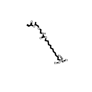 C=CC(=O)OC(C)COCCNC(=O)OCCCCCCCCCCC[Si](OCC)(OCC)OCC